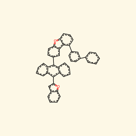 c1ccc(-c2cccc(-c3cccc4oc5ccc(-c6c7ccccc7c(-c7cc8ccccc8o7)c7ccccc67)cc5c34)c2)cc1